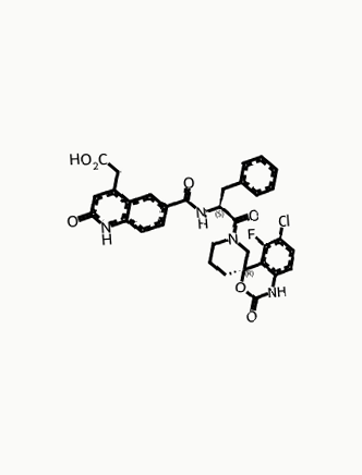 O=C(O)Cc1cc(=O)[nH]c2ccc(C(=O)N[C@@H](Cc3ccccc3)C(=O)N3CCC[C@@]4(C3)OC(=O)Nc3ccc(Cl)c(F)c34)cc12